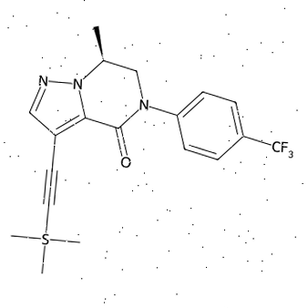 C[C@H]1CN(c2ccc(C(F)(F)F)cc2)C(=O)c2c(C#CS(C)(C)C)cnn21